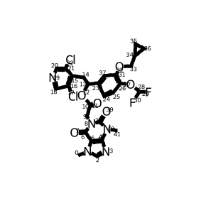 Cn1cnc2c1c(=O)n(CC(=O)OC(Cc1c(Cl)cncc1Cl)c1ccc(OC(F)F)c(OCC3CC3)c1)c(=O)n2C